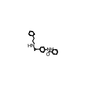 O=C(Nc1ccc(C2CC2NCCCc2ccccc2)cc1)c1ccccc1